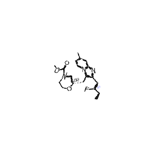 C=C/C(F)=C/c1nc2cc(C)ccn2c1C[C@H]1CN(C(=O)OC)CCO1